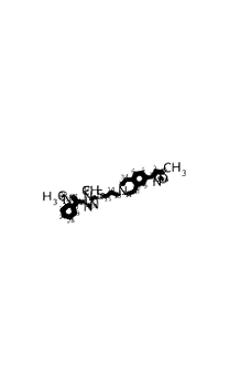 Cc1cc(-c2ccc3c(c2)CCN(CCCSc2nnc(-c4cn(C)c5ccccc45)n2C)CC3)no1